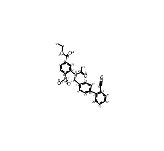 CCOC(=O)c1ccc([N+](=O)[O-])c(N(Cc2ccc(-c3ccccc3C#N)cc2)C(C)=O)c1